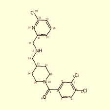 O=C(c1ccc(Cl)c(Cl)c1)N1CCC(CNCc2cccc(Cl)n2)CC1